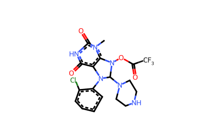 Cn1c2c(c(=O)[nH]c1=O)N(c1ccccc1Cl)C(N1CCNCC1)N2OC(=O)C(F)(F)F